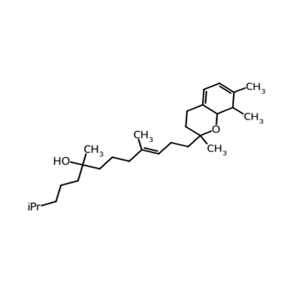 CC1=CC=C2CCC(C)(CC/C=C(\C)CCCC(C)(O)CCCC(C)C)OC2C1C